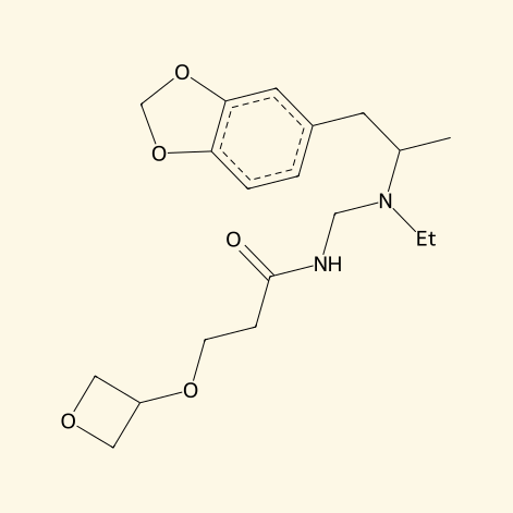 CCN(CNC(=O)CCOC1COC1)C(C)Cc1ccc2c(c1)OCO2